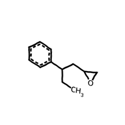 CCC(CC1CO1)c1ccccc1